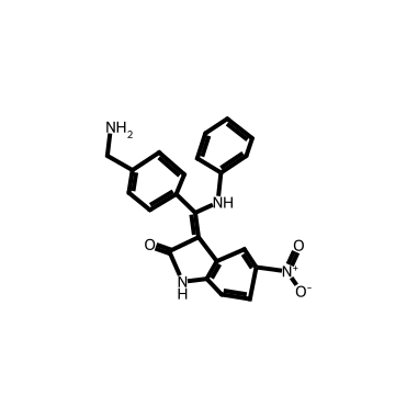 NCc1ccc(C(Nc2ccccc2)=C2C(=O)Nc3ccc([N+](=O)[O-])cc32)cc1